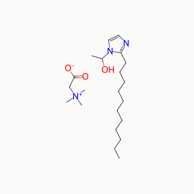 CCCCCCCCCCCc1nccn1C(C)O.C[N+](C)(C)CC(=O)[O-]